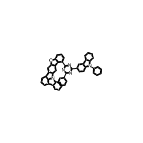 c1ccc(-c2nc(-c3ccc4c(c3)c3ccccc3n4-c3ccccc3)nc(-c3cccc4oc5cc6c7cccc8c9ccccc9n(c6cc5c34)c87)n2)cc1